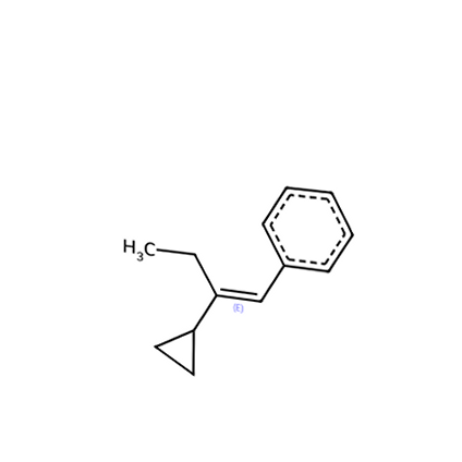 CC/C(=C\c1ccccc1)C1CC1